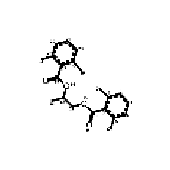 Cc1cccc(C)c1C(=O)OCC(C)OC(=O)c1c(C)cccc1C